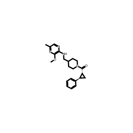 COc1nc(C)cnc1NCC1CCN(C(=O)[C@@H]2C[C@H]2c2ccccc2)CC1